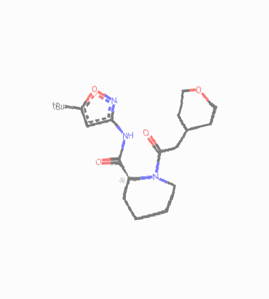 CC(C)(C)c1cc(NC(=O)[C@@H]2CCCCN2C(=O)CC2CCOCC2)no1